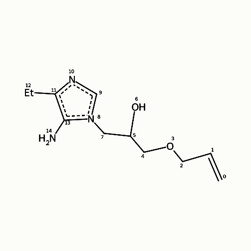 C=CCOCC(O)Cn1cnc(CC)c1N